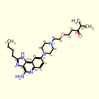 CCCCc1nc2c(N)nc3ccc(N4CCN(CCOCCC(=O)C(C)C)CC4)cc3c2[nH]1